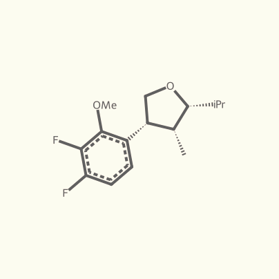 COc1c([C@@H]2CO[C@H](C(C)C)[C@@H]2C)ccc(F)c1F